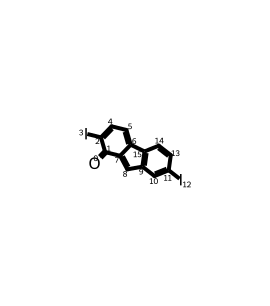 O=C1C(I)=CC=C2C1=Cc1cc(I)ccc12